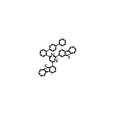 c1ccc(-c2ccc(-c3ccccc3-c3cc(-c4cccc5c4sc4ccccc45)nc(-c4ccc5c(c4)sc4ccccc45)n3)cc2)cc1